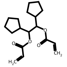 C=CC(=O)OC(C1CCCC1)C(OC(=O)C=C)C1CCCC1